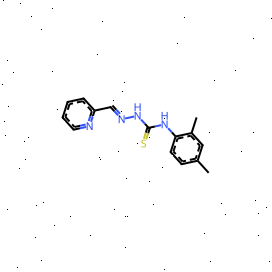 Cc1ccc(NC(=S)NN=Cc2ccccn2)c(C)c1